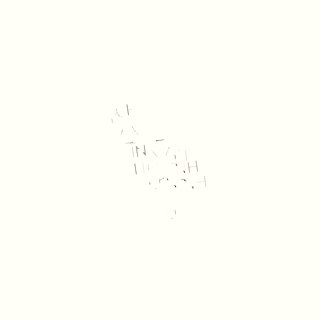 C[C@@]1(c2cccc(Nc3ccc(OC(F)(F)F)cc3)c2O)CC(=O)N(C2CCOCC2)C(=N)N1